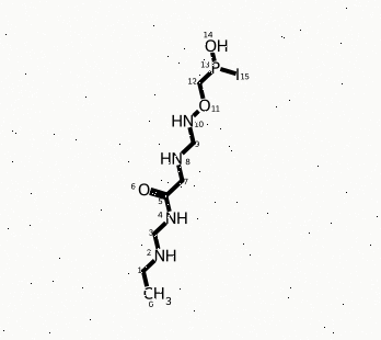 CCNCNC(=O)CNCNOCP(O)I